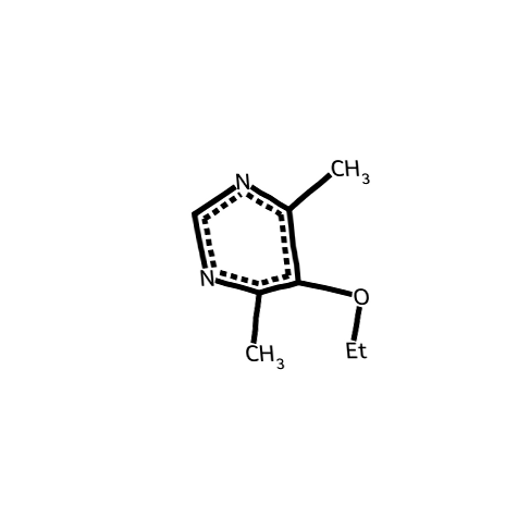 CCOc1c(C)ncnc1C